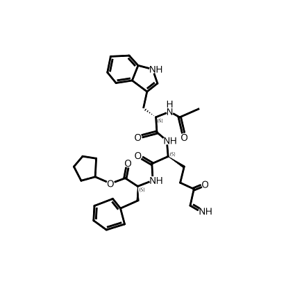 CC(=O)N[C@@H](Cc1c[nH]c2ccccc12)C(=O)N[C@@H](CCC(=O)C=N)C(=O)N[C@@H](Cc1ccccc1)C(=O)OC1CCCC1